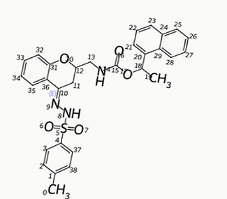 Cc1ccc(S(=O)(=O)N/N=C2\CC(CNC(=O)OC(C)c3cccc4ccccc34)Oc3ccccc32)cc1